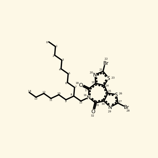 CCCCCCCCC(CCCCCC)Cn1c(=O)c2nc(Br)sc2c2sc(Br)nc2c1=O